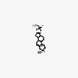 CC(C)CC(F)(F)C[C@H]1CCC2C3CC=C4C[C@@](C)(O)CC[C@]4(C)C3CCC21